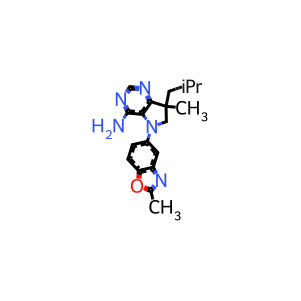 Cc1nc2cc(N3CC(C)(CC(C)C)c4ncnc(N)c43)ccc2o1